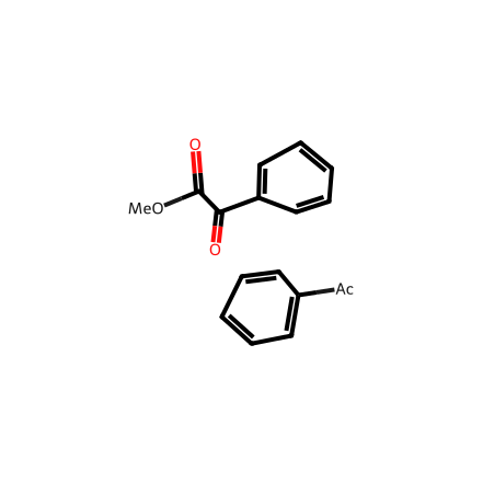 CC(=O)c1ccccc1.COC(=O)C(=O)c1ccccc1